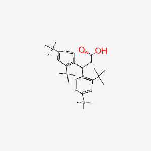 CC(C)(C)c1ccc(C(CC(=O)O)c2ccc(C(C)(C)C)cc2C(C)(C)C)c(C(C)(C)C)c1